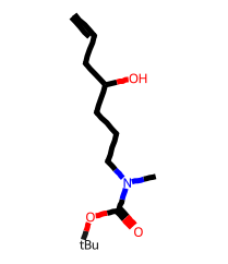 C=CCC(O)CCCN(C)C(=O)OC(C)(C)C